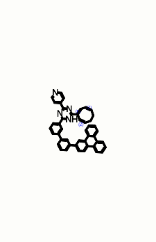 C1=C/CC\C=C/C(C2=NC(c3ccncc3)=NC(c3cccc(-c4cccc(-c5ccc6c7ccccc7c7ccccc7c6c5)c4)c3)N2)=C\1